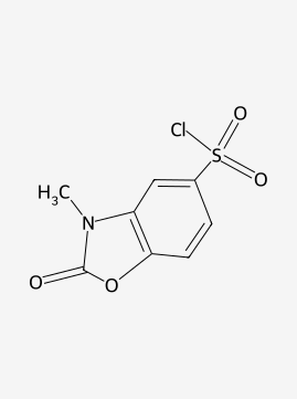 Cn1c(=O)oc2ccc(S(=O)(=O)Cl)cc21